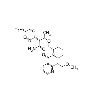 C=C/C=C\C(N=O)=C(\C(N)=O)C(C)OCC1CCCCN1C(=O)c1cccnc1CCOC